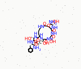 C[C@@H](O)[C@@H]1NC(C(=O)N[C@@H](CO)C(=O)N[C@@H](Cc2ccccc2)C(N)=O)CCCCNC(=O)CCC(N[C@@H](CO)C(N)=O)C(=O)NC(=O)[C@H](CO)NC1=O